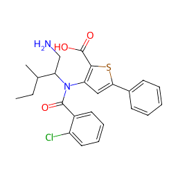 CCC(C)C(CN)N(C(=O)c1ccccc1Cl)c1cc(-c2ccccc2)sc1C(=O)O